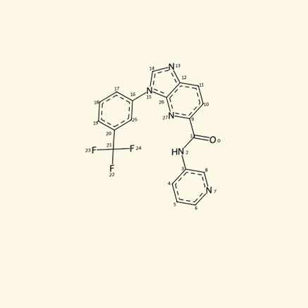 O=C(Nc1cccnc1)c1ccc2ncn(-c3cccc(C(F)(F)F)c3)c2n1